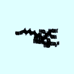 O=CCCCCCC(=O)N[C@H]1[C@H]([C@H](O)[C@H](O)CO)O[C@](O)(C(=O)O)C[C@@H]1O